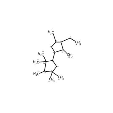 CCC1C(C)CC([C]2CC(C)(C)C(C)C2(C)C)C1C